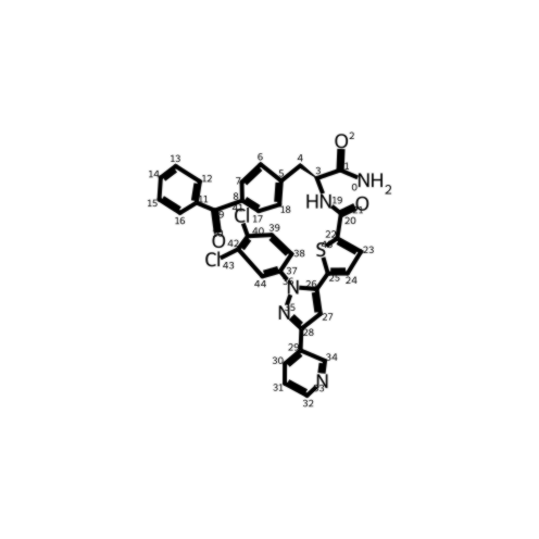 NC(=O)[C@H](Cc1ccc(C(=O)c2ccccc2)cc1)NC(=O)c1ccc(-c2cc(-c3cccnc3)nn2-c2ccc(Cl)c(Cl)c2)s1